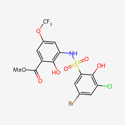 COC(=O)c1cc(OC(F)(F)F)cc(NS(=O)(=O)c2cc(Br)cc(Cl)c2O)c1O